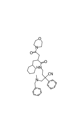 CN(Cc1ccccc1)CC(C#N)(CCNC(=O)C(CC(=O)N1CCOCC1)CC1CCCCC1)c1ccccc1